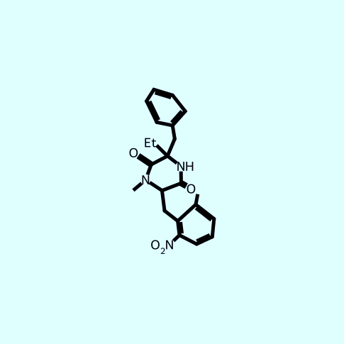 CCC1(Cc2ccccc2)NC(=O)C(Cc2c(C)cccc2[N+](=O)[O-])N(C)C1=O